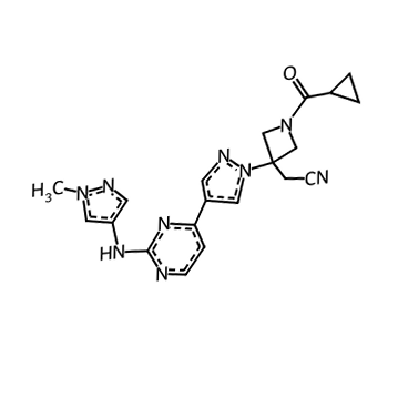 Cn1cc(Nc2nccc(-c3cnn(C4(CC#N)CN(C(=O)C5CC5)C4)c3)n2)cn1